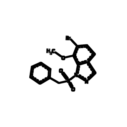 COc1c(Br)ccc2cnn(S(=O)(=O)Cc3ccccc3)c12